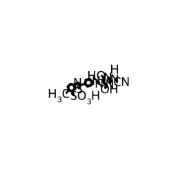 Cc1ccc2nc(-c3ccc(N=Nc4c(O)nc(NC#N)nc4O)cc3)sc2c1S(=O)(=O)O